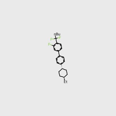 CCCCC(F)(F)c1ccc(-c2ccc([C@H]3CC[C@H](CC)CC3)cc2)cc1F